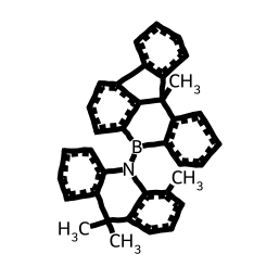 Cc1cccc2c1N(B1c3ccccc3C3(C)c4ccccc4-c4cccc1c43)c1ccccc1C2(C)C